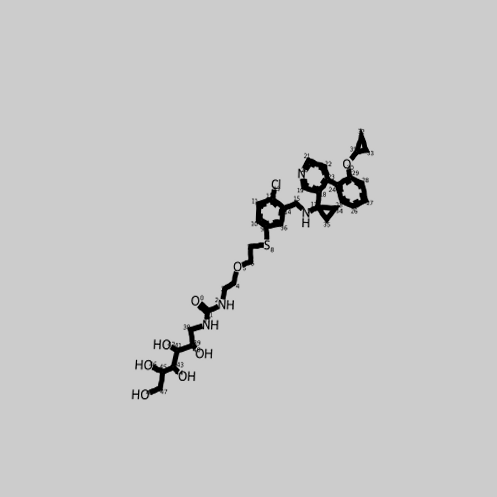 O=C(NCCOCCSc1ccc(Cl)c(CNC2(c3cnccc3-c3ccccc3OC3CC3)CC2)c1)NCC(O)C(O)C(O)C(O)CO